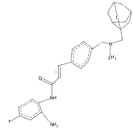 CN(Cc1ccc(/C=C/C(=O)Nc2ccc(F)cc2N)cc1)CC12CC3CC(CC1C3)C2